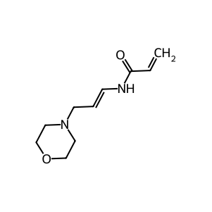 C=CC(=O)NC=CCN1CCOCC1